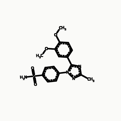 COc1ccc(-c2nc(C)nn2-c2ccc(S(N)(=O)=O)cc2)cc1OC